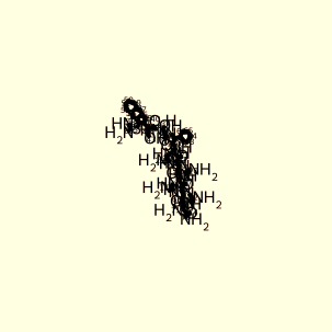 N=C(N)NC(NC(=O)C(NC(=N)N)NC(=O)C(NC(=N)N)NC(=O)C(NC(=N)N)NC(=O)C(NC(=O)C(O)NC(=O)C(CO)C1C=c2cc3ccccc3cc2=C1SC(=N)N)c1ccccc1)C(=O)NC(N)C(N)=O